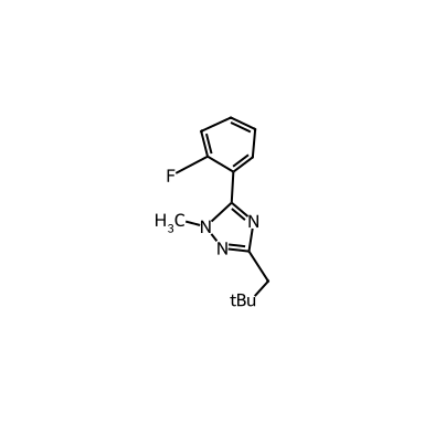 Cn1nc(CC(C)(C)C)nc1-c1ccccc1F